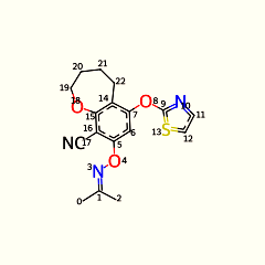 CC(C)=NOc1cc(Oc2nccs2)c2c(c1C#N)OCCCC2